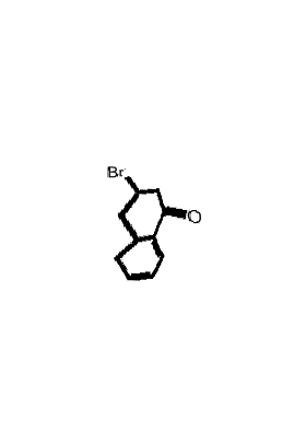 O=C1CC(Br)CC2CC=CC=C12